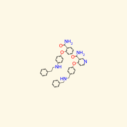 NC(=O)c1ccccc1Oc1ccc(NCCc2ccccc2)cc1.NC(=O)c1cnccc1Oc1ccc(CNCc2ccccc2)cc1